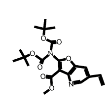 C=Cc1cnc2c(C(=O)OC)c(N(C(=O)OC(C)(C)C)C(=O)OC(C)(C)C)oc2c1